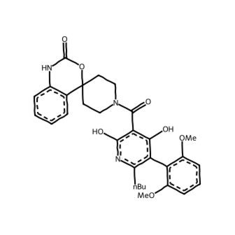 CCCCc1nc(O)c(C(=O)N2CCC3(CC2)OC(=O)Nc2ccccc23)c(O)c1-c1c(OC)cccc1OC